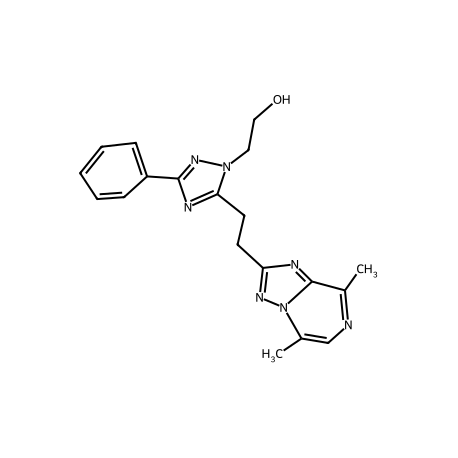 Cc1ncc(C)n2nc(CCc3nc(-c4ccccc4)nn3CCO)nc12